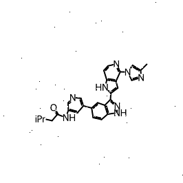 Cc1cn(-c2nccc3[nH]c(-c4n[nH]c5ccc(-c6cncc(NC(=O)CC(C)C)c6)cc45)cc23)cn1